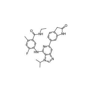 CCNC(=O)c1cc(Nc2nc(-c3ccc4c(c3)NC(=O)C4)cc3ncn(C(C)C)c23)c(F)cc1C